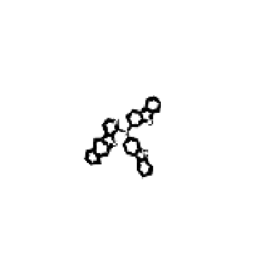 c1ccc2cc3c(cc2c1)sc1c(N(c2ccc4c(c2)oc2ccccc24)c2ccc4c(c2)oc2ccccc24)nccc13